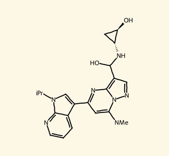 CNc1cc(-c2cn(C(C)C)c3ncccc23)nc2c(C(O)N[C@@H]3C[C@H]3O)cnn12